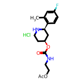 CC(=O)OCCNC(=O)O[C@H]1CCN[C@@H](c2ccc(F)cc2C)C1.Cl